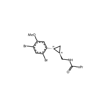 CCCC(=O)NC[C@@H]1C[C@H]1c1cc(OC)c(Br)cc1Br